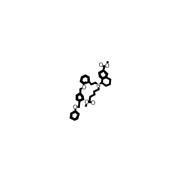 COC(=O)CCCCN(CCc1ccccc1OCc1ccc(COc2ccccc2)cc1)C1CCCc2cc(C(=O)OC)ccc21